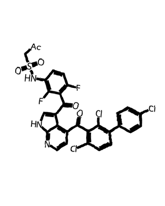 CC(=O)CS(=O)(=O)Nc1ccc(F)c(C(=O)c2c[nH]c3nccc(C(=O)c4c(Cl)ccc(-c5ccc(Cl)cc5)c4Cl)c23)c1F